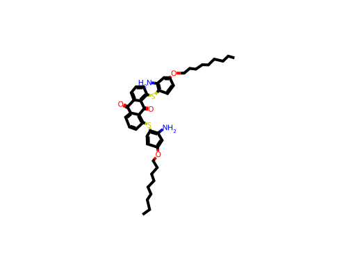 CCCCCCCCCOc1ccc(Sc2cccc3c2C(=O)c2c(Sc4ccc(OCCCCCCCCC)cc4N)cccc2C3=O)c(N)c1